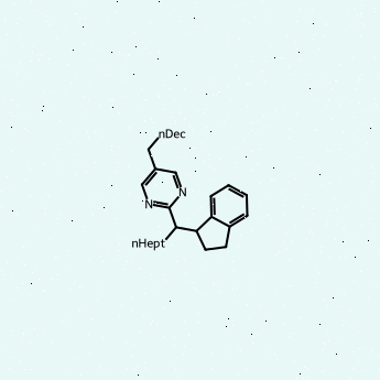 CCCCCCCCCCCc1cnc(C(CCCCCCC)C2CCc3ccccc32)nc1